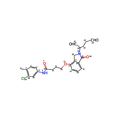 Cc1ccc(NC(=O)CCCOc2cccc3c2CN(C(C=O)CCC=O)C3=O)cc1Cl